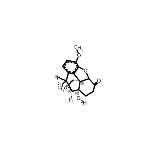 [2H]O[C@@]12CCC(=O)C3Oc4c(OC)ccc5c4[C@@]31CCN(C)[C@@H]2C5([2H])[2H]